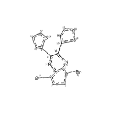 Brc1ccc(Br)c2nc(-c3cccs3)c(-c3cccs3)nc12